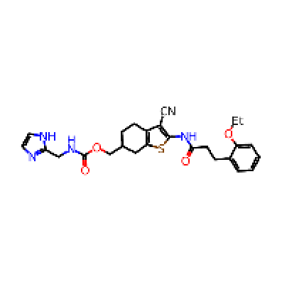 CCOc1ccccc1CCC(=O)Nc1sc2c(c1C#N)CCC(COC(=O)NCc1ncc[nH]1)C2